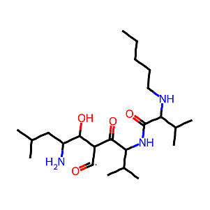 CCCCCNC(C(=O)NC(C(=O)C([C]=O)C(O)C(N)CC(C)C)C(C)C)C(C)C